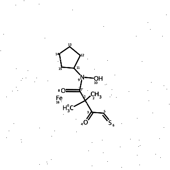 CC(C)(C(=O)C=S)C(=O)N(O)C1CCCC1.[Fe]